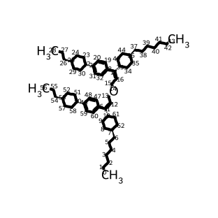 CCCCCCC[C@H]1CC[C@H](C(=CCOCC=C(c2ccc([C@H]3CC[C@H](CCC)CC3)cc2)[C@H]2CC[C@H](CCCCCCC)CC2)c2ccc([C@H]3CC[C@H](CCC)CC3)cc2)CC1